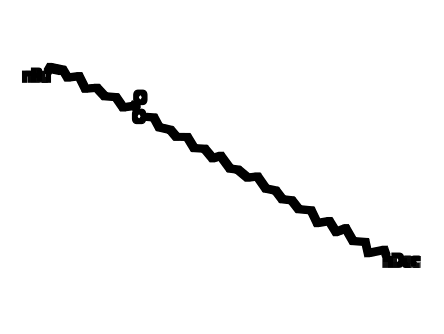 CCCC/C=C\CCCCCCCC(=O)OCCCCCCCCCCCCCCCCCCCCCCCCCCCCCCCCCCCCC